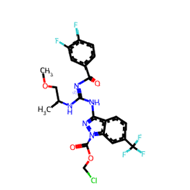 COCC(C)N/C(=N/C(=O)c1ccc(F)c(F)c1)Nc1nn(C(=O)OCCl)c2cc(C(F)(F)F)ccc12